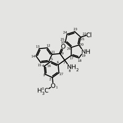 COc1cccc(C(N)(C(=O)c2ccccc2)c2c[nH]c3c(Cl)cccc23)c1